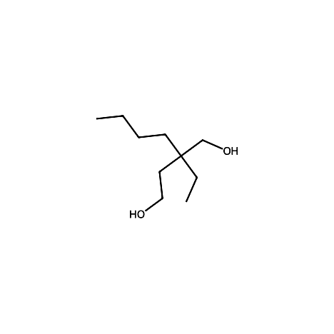 CCCCC(CC)(CO)CCO